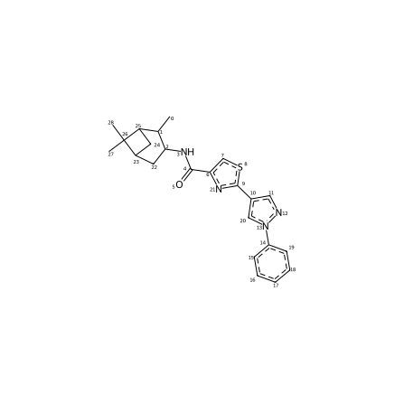 CC1C(NC(=O)c2csc(-c3cnn(-c4ccccc4)c3)n2)CC2CC1C2(C)C